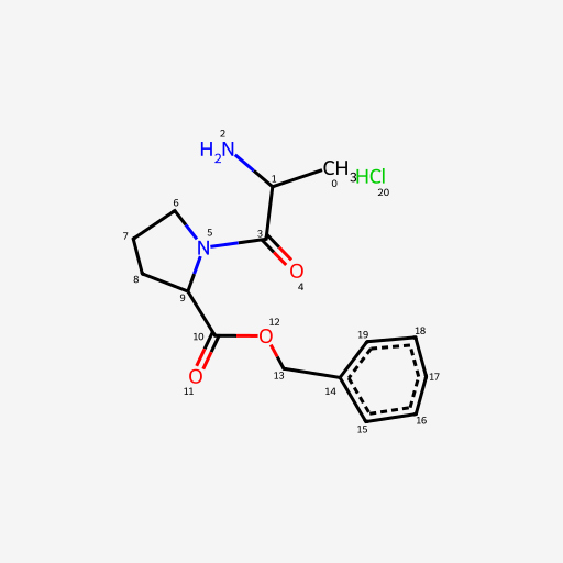 CC(N)C(=O)N1CCCC1C(=O)OCc1ccccc1.Cl